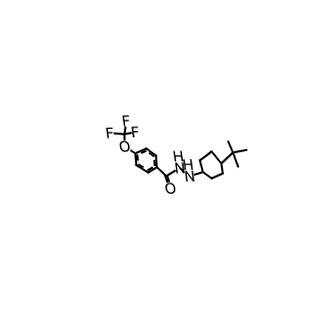 CC(C)(C)C1CCC(NNC(=O)c2ccc(OC(F)(F)F)cc2)CC1